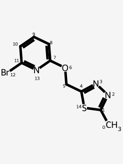 Cc1nnc(COc2cccc(Br)n2)s1